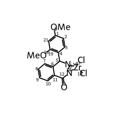 COc1ccc(C2c3ccccc3C(=O)[N]3[N]2[Zr]3([Cl])[Cl])c(OC)c1